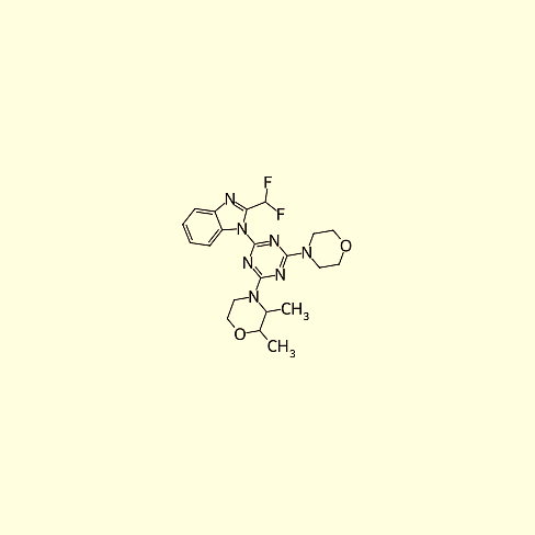 CC1OCCN(c2nc(N3CCOCC3)nc(-n3c(C(F)F)nc4ccccc43)n2)C1C